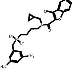 CC[N+](CC)(CCCCN(CC1CC1)C(=O)c1sc2ccccc2c1Cl)Cc1cc(C)cc(C)c1